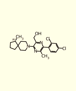 Cc1nc(N2CCC3(CCC[C@H]3C)CC2)c(CO)nc1-c1ccc(Cl)cc1Cl